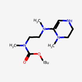 CN(CCN(C)C1=CNCCN1C)C(=O)OC(C)(C)C